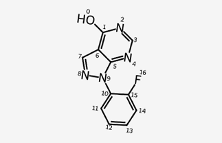 Oc1ncnc2c1cnn2-c1ccccc1F